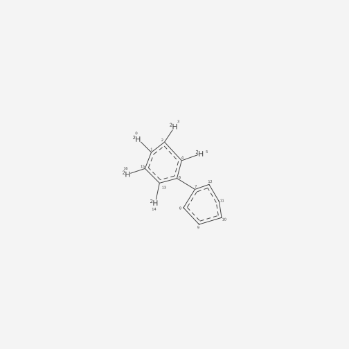 [2H]c1c([2H])c([2H])c(-c2ccccc2)c([2H])c1[2H]